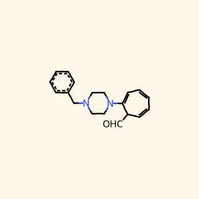 O=CC1C=CC=CC=C1N1CCN(Cc2ccccc2)CC1